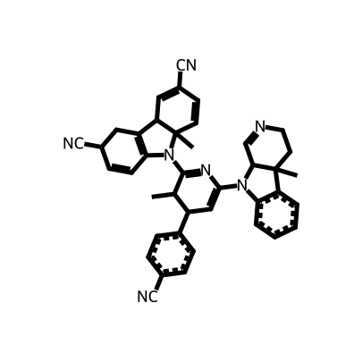 CC1C(N2C3=C(CC(C#N)C=C3)C3C=C(C#N)C=CC32C)=NC(N2c3ccccc3C3(C)CCN=CC23)=CC1c1ccc(C#N)cc1